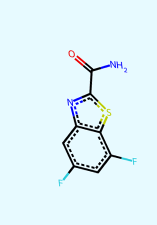 NC(=O)c1nc2cc(F)cc(F)c2s1